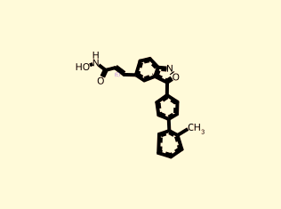 Cc1ccccc1-c1ccc(-c2onc3ccc(/C=C/C(=O)NO)cc23)cc1